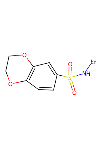 CCNS(=O)(=O)c1ccc2c(c1)OCCO2